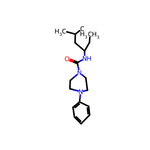 CCC(CC(C)C)NC(=O)N1CCN(c2ccccc2)CC1